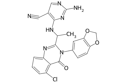 CC(Nc1nc(N)ncc1C#N)c1nc2cccc(Cl)c2c(=O)n1-c1ccc2c(c1)OCO2